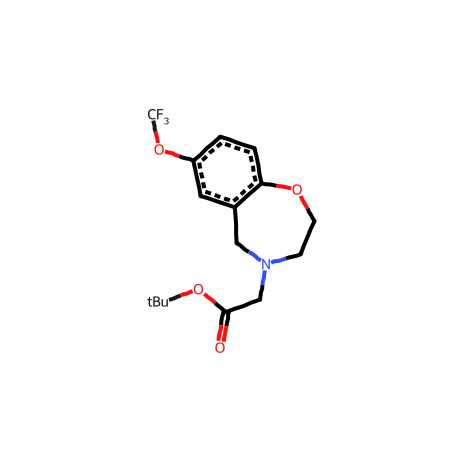 CC(C)(C)OC(=O)CN1CCOc2ccc(OC(F)(F)F)cc2C1